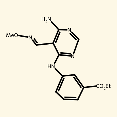 CCOC(=O)c1cccc(Nc2ncnc(N)c2/C=N/OC)c1